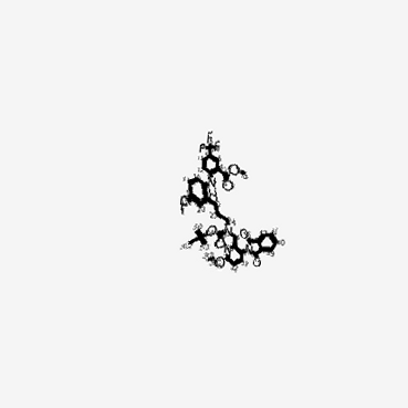 COC(=O)c1cc(C(F)(F)F)ccc1Nc1ccc(F)cc1CCCN(Cc1nc(OC)ccc1N1C(=O)c2ccccc2C1=O)C(=O)OC(C)(C)C